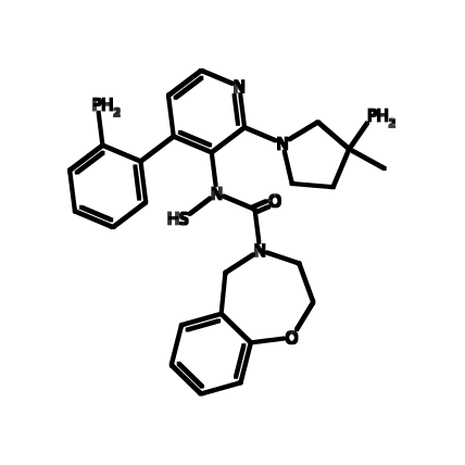 CC1(P)CCN(c2nccc(-c3ccccc3P)c2N(S)C(=O)N2CCOc3ccccc3C2)C1